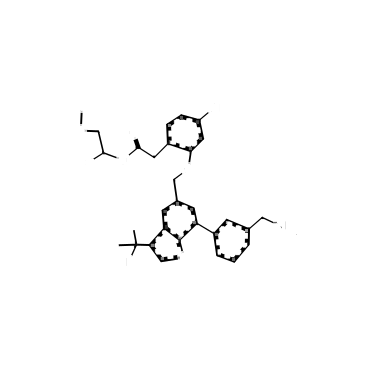 COCC(C)OC(=O)Cc1ccc(C)cc1OCc1cc(-c2cccc(CN)c2)c2occ(C(F)(F)F)c2c1